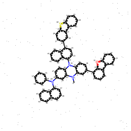 CN1c2cc(-c3cccc4c3oc3ccccc34)ccc2N(c2ccc(-c3ccc4sc5ccccc5c4c3)c3ccccc23)c2ccc(N(c3ccccc3)c3cccc4ccccc34)cc21